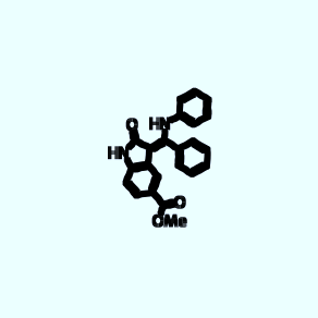 COC(=O)c1ccc2c(c1)/C(=C(/Nc1ccccc1)c1ccccc1)C(=O)N2